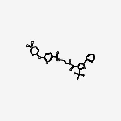 O=C(NCCNC(=O)c1cn(-c2ccccc2)nc1C(F)(F)F)c1ccc(OC2CCS(=O)(=O)CC2)nc1